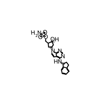 NS(=O)(=O)OCC1C[C@@H](n2ccc3c(N[C@H]4CCc5ccccc54)ncnc32)C[C@H]1O